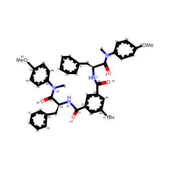 COc1ccc(N(C)C(=O)[C@H](Cc2ccccc2)NC(=O)c2cc(C(=O)N[C@@H](Cc3ccccc3)C(=O)N(C)c3ccc(OC)cc3)cc(C(C)(C)C)c2)cc1